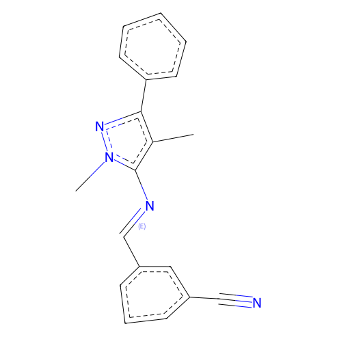 Cc1c(-c2ccccc2)nn(C)c1/N=C/c1cccc(C#N)c1